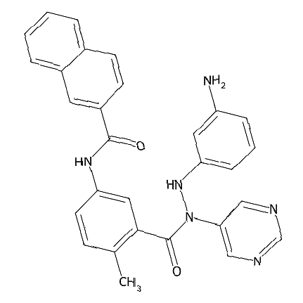 Cc1ccc(NC(=O)c2ccc3ccccc3c2)cc1C(=O)N(Nc1cccc(N)c1)c1cncnc1